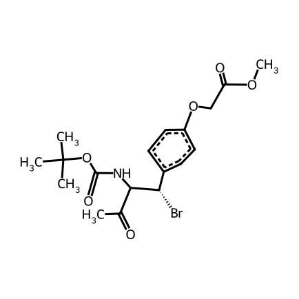 COC(=O)COc1ccc([C@H](Br)C(NC(=O)OC(C)(C)C)C(C)=O)cc1